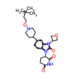 C[Si](C)(C)CCON1CCC(c2ccc3c(c2)n(C2COC2)c(=O)n3C2CCC(=O)NC2=O)CC1